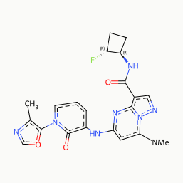 CNc1cc(Nc2cccn(-c3ocnc3C)c2=O)nc2c(C(=O)N[C@@H]3CC[C@H]3F)cnn12